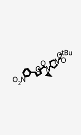 CC(C)(C)OC(=O)N1CCC(N(C(=O)c2ccc(-c3cccc([N+](=O)[O-])c3)o2)C2CC2)CC1